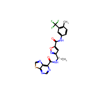 Cc1ccc(NC(=O)c2cc([C@H](C)NC(=O)c3ncnc4scnc34)no2)cc1C(F)(F)F